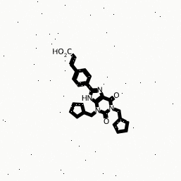 O=C(O)/C=C/c1ccc(-c2nc3c(=O)n(CC4CCCC4)c(=O)n(CC4CCCC4)c3[nH]2)cc1